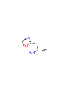 CCCC(N)Cc1ncco1